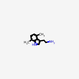 Cc1ccc(C)c2c(CCN)c[nH]c12